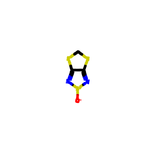 [O-][s+]1nc2c(n1)SCS2